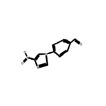 O=Cc1ccc(-n2cnc([N+](=O)[O-])c2)cc1